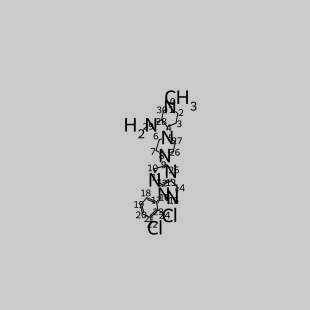 CN1CCC(N2CCN(c3cnc4c(cnn4-c4cccc(Cl)c4Cl)n3)CC2)[C@@H](N)C1